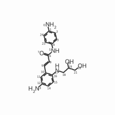 Nc1ccc(NC(=O)C=Cc2cc(N)ccc2NCC(O)CO)cc1